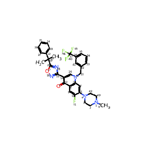 CN1CCN(c2cc3c(cc2F)c(=O)c(-c2noc(C(C)(C)c4ccccc4)n2)cn3Cc2cccc(C(F)(F)F)c2)CC1